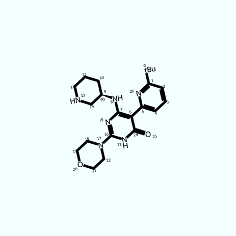 CC(C)(C)c1cccc(-c2c(N[C@@H]3CCCNC3)nc(N3CCOCC3)[nH]c2=O)n1